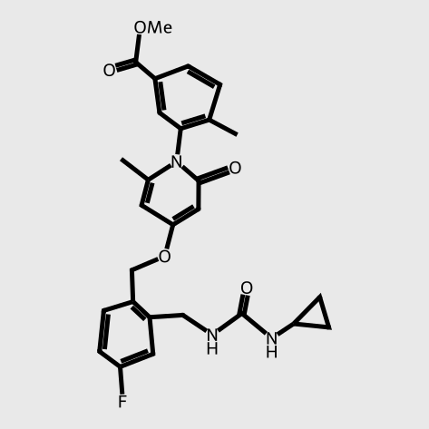 COC(=O)c1ccc(C)c(-n2c(C)cc(OCc3ccc(F)cc3CNC(=O)NC3CC3)cc2=O)c1